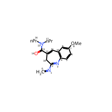 C=NC1=Nc2ccc(OC)cc2C=C(C(=O)N(CCC)CCC)C1